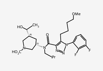 COCCCCc1c(C(=O)N(CC(C)C)[C@H]2C[C@@H](C(C)O)CN(C(=O)O)C2)nnn1-c1cccc(F)c1F